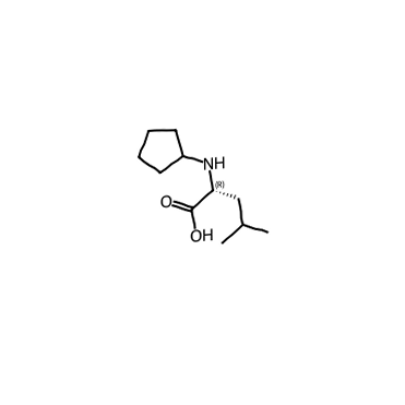 CC(C)C[C@@H](NC1CCCC1)C(=O)O